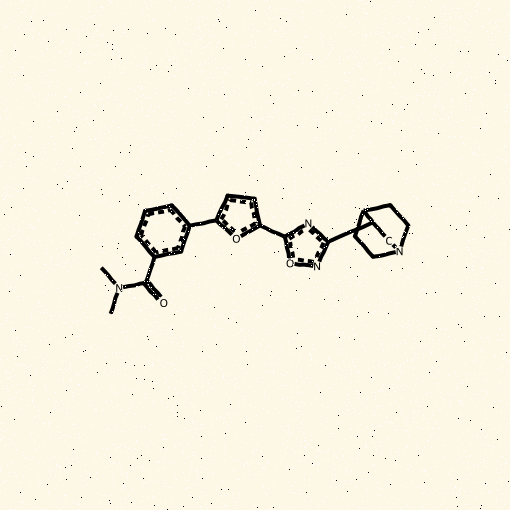 CN(C)C(=O)c1cccc(-c2ccc(-c3nc(C4CN5CCC4CC5)no3)o2)c1